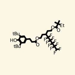 CCC(C)(C)C(=O)OCCC(CCOC(=O)CCc1cc(C(C)(C)C)c(O)c(C(C)(C)C)c1)C(F)(F)C(F)(F)C(F)(F)C(F)(F)C(F)F